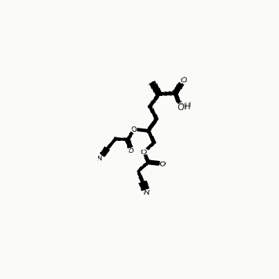 C=C(CCC(COC(=O)CC#N)OC(=O)CC#N)C(=O)O